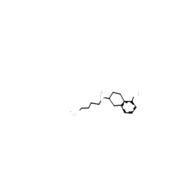 CCCN(CCCCC#N)C1CCc2c(O)cccc2C1